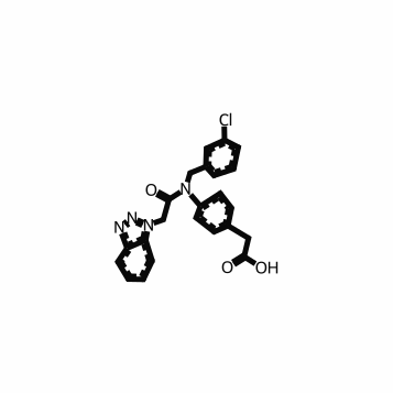 O=C(O)Cc1ccc(N(Cc2cccc(Cl)c2)C(=O)Cn2nnc3ccccc32)cc1